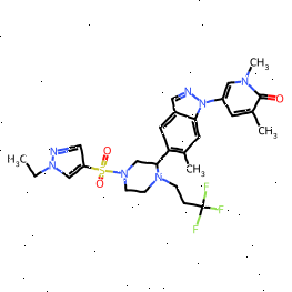 CCn1cc(S(=O)(=O)N2CCN(CCC(F)(F)F)C(c3cc4cnn(-c5cc(C)c(=O)n(C)c5)c4cc3C)C2)cn1